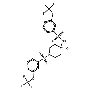 O=S(=O)(NC1(O)CCN(S(=O)(=O)c2cccc(OC(F)(F)F)c2)CC1)c1cccc(OC(F)(F)F)c1